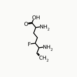 C=CC(N)C(F)CCC(N)C(=O)O